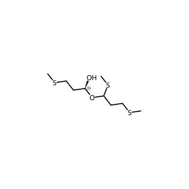 CSCCC(O[C@H](O)CCSC)SC